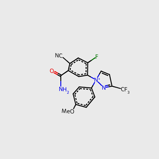 COc1ccc([N+]2(c3cc(C(N)=O)c(C#N)cc3F)C=CC(C(F)(F)F)=N2)cc1